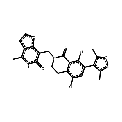 Cc1noc(C)c1-c1cc(Cl)c2c(c1Cl)C(=O)N(Cc1c(=O)[nH]c(C)c3ccoc13)CC2